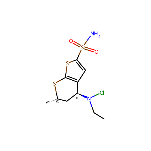 CCN(Cl)[C@H]1C[C@H](C)Sc2sc(S(N)(=O)=O)cc21